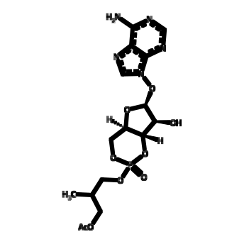 CC(=O)OCC(C)COP1(=O)OC[C@H]2O[C@@H](On3cnc4c(N)ncnc43)[C@@H](O)[C@@H]2O1